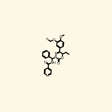 CCC1OC(=O)N(C(NC(=O)c2ccncc2)c2ccccc2)N=C1c1ccc(OC)c(OCF)c1